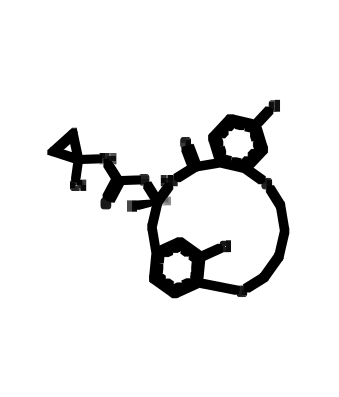 N#CC1(NC(=O)O[C@H]2Cc3ccc(c(Cl)c3)OCCCCOc3cc(Cl)ccc3C(=O)N2)CC1